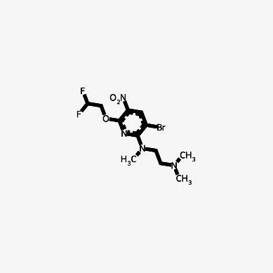 CN(C)CCN(C)c1nc(OCC(F)F)c([N+](=O)[O-])cc1Br